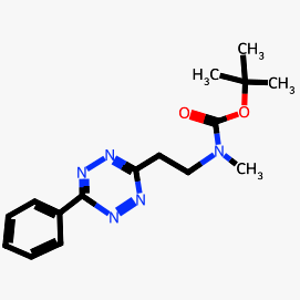 CN(CCc1nnc(-c2ccccc2)nn1)C(=O)OC(C)(C)C